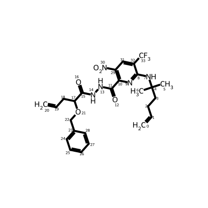 C=CCCC(C)(C)Nc1nc(C(=O)NNC(=O)C(CC=C)OCc2ccccc2)c([N+](=O)[O-])cc1C(F)(F)F